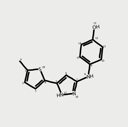 Cc1ccc(-c2cc(Nc3ccc(O)cc3)n[nH]2)s1